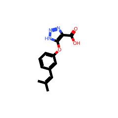 CC(C)=Cc1cccc(Oc2[nH]nnc2C(=O)O)c1